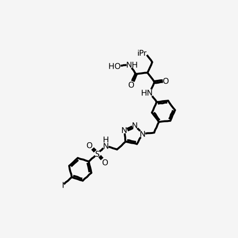 CC(C)CC(C(=O)NO)C(=O)Nc1cccc(Cn2cc(CNS(=O)(=O)c3ccc(I)cc3)nn2)c1